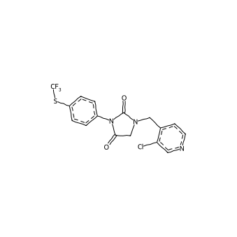 O=C1CN(Cc2ccncc2Cl)C(=O)N1c1ccc(SC(F)(F)F)cc1